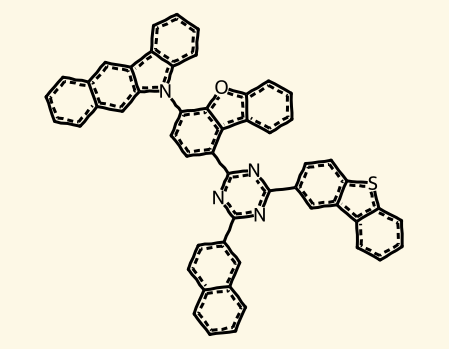 c1ccc2cc(-c3nc(-c4ccc5sc6ccccc6c5c4)nc(-c4ccc(-n5c6ccccc6c6cc7ccccc7cc65)c5oc6ccccc6c45)n3)ccc2c1